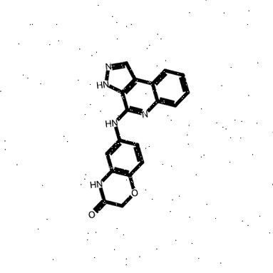 O=C1COc2ccc(Nc3nc4ccccc4c4cn[nH]c34)cc2N1